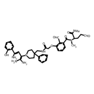 CNC(=O)C(CCC=O)N(C)C(=O)c1cccc(OCC(=O)NCC2(c3ccccc3)CCN(C(/C=C(\N)c3ccccc3O)=C(N)N)CC2)c1C=O